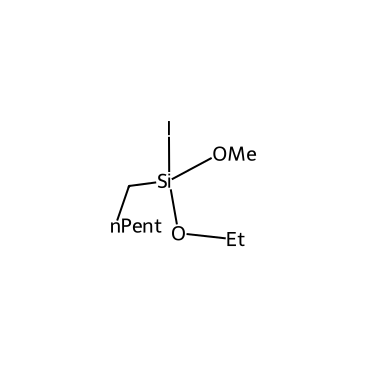 CCCCCC[Si](I)(OC)OCC